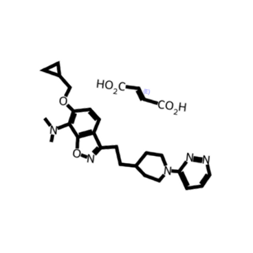 CN(C)c1c(OCC2CC2)ccc2c(CCC3CCN(c4cccnn4)CC3)noc12.O=C(O)/C=C/C(=O)O